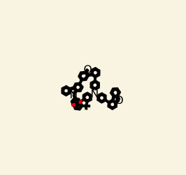 CC1(C)c2ccccc2-c2ccc(N(c3ccc(-c4cccc5oc6ccccc6c45)cc3)c3ccc(-c4cccc5oc6ccc(-c7ccc8c(c7)c7ccccc7n8-c7ccccc7)cc6c45)cc3)cc21